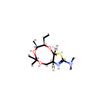 CC[C@H]1O[C@@H]2SC(N(C)C)=N[C@@H]2COC(C)(C)O[C@H]1C